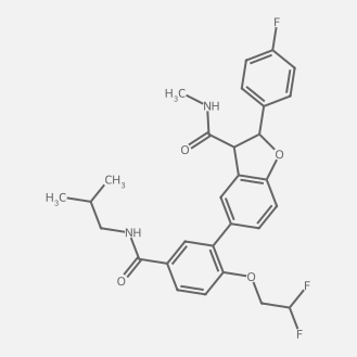 CNC(=O)C1c2cc(-c3cc(C(=O)NCC(C)C)ccc3OCC(F)F)ccc2OC1c1ccc(F)cc1